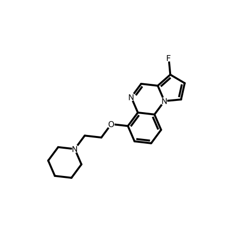 Fc1ccn2c1cnc1c(OCCN3CCCCC3)cccc12